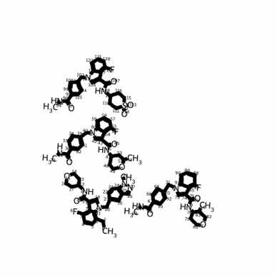 CCc1ccc(F)c2c(C(=O)NC3CCOCC3)cn(Cc3ccc4c(cnn4C)c3)c12.CNC(=O)c1ccc(Cn2cc(C(=O)NC3CCOC(C)C3)c3c(F)cccc32)cc1.CNC(=O)c1ccc(Cn2cc(C(=O)NC3CCOCC3C)c3c(F)cccc32)cc1.CNC(=O)c1ccc(Cn2cc(C(=O)NC3CCS(=O)(=O)CC3)c3c(F)cccc32)cc1